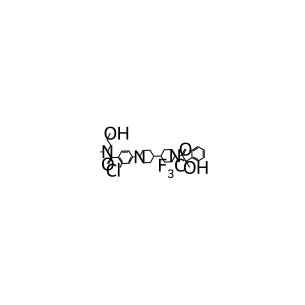 CN(CCO)C(=O)c1ccc(N2CCC(C3CCN(C(=O)[C@](O)(c4ccccc4)C(F)(F)F)CC3)CC2)cc1Cl